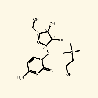 C[N+](C)(C)CCO.Nc1ccn(C[C@@H]2O[C@H](CO)[C@@H](O)[C@H]2O)c(=O)n1